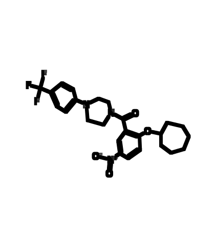 O=C(c1cc([N+](=O)[O-])ccc1OC1CCCCCC1)N1CCN(c2ccc(C(F)(F)F)cc2)CC1